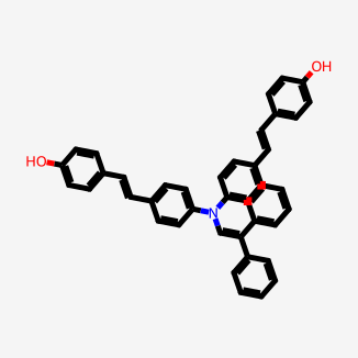 Oc1ccc(C=Cc2ccc(N(C=C(c3ccccc3)c3ccccc3)c3ccc(C=Cc4ccc(O)cc4)cc3)cc2)cc1